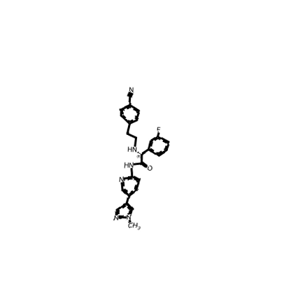 Cn1cc(-c2ccc(NC(=O)[C@H](NCCc3ccc(C#N)cc3)c3cccc(F)c3)nc2)cn1